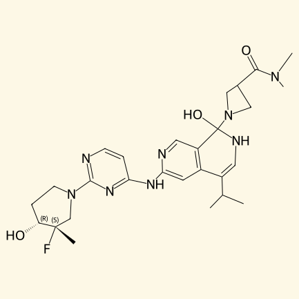 CC(C)C1=CNC(O)(N2CC(C(=O)N(C)C)C2)c2cnc(Nc3ccnc(N4CC[C@@H](O)[C@@](C)(F)C4)n3)cc21